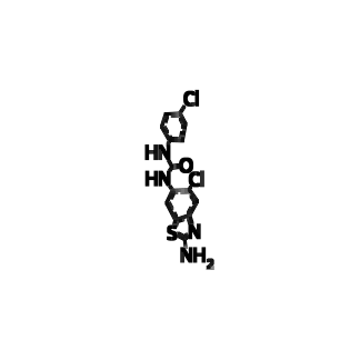 Nc1nc2cc(Cl)c(NC(=O)Nc3ccc(Cl)cc3)cc2s1